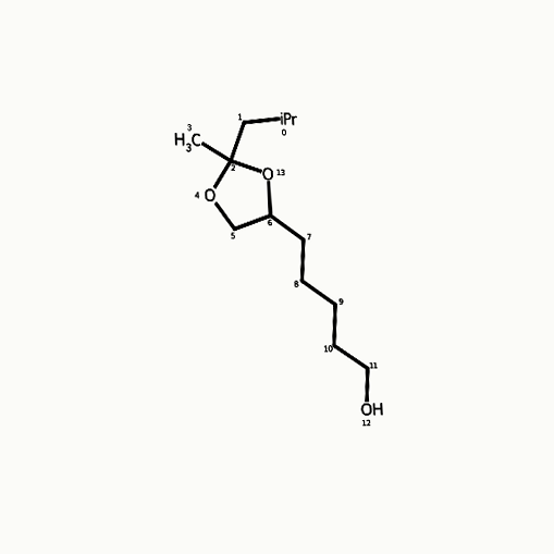 CC(C)CC1(C)OCC(CCCCCO)O1